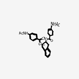 CC(=O)Nc1ccc(C(=O)O[C@H]2Cc3ccccc3C[C@H]2OC(=O)c2ccc(NC(C)=O)cc2)cc1